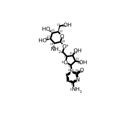 Nc1ccn(C2OC(CO[C@@H]3O[C@H](CO)[C@@H](O)[C@H](O)[C@H]3N)C(O)C2O)c(=O)n1